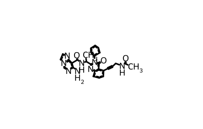 CC(=O)NCC#Cc1cccc2nc(C(C)NC(=O)c3c(N)ncn4ccnc34)n(-c3ccccc3)c(=O)c12